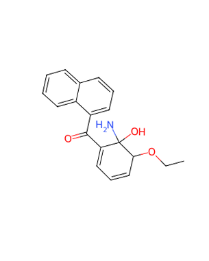 CCOC1C=CC=C(C(=O)c2cccc3ccccc23)C1(N)O